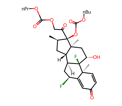 CCCCOC(=O)O[C@]1(C(=O)COC(=O)OCCC)[C@H](C)C[C@H]2[C@@H]3C[C@H](F)C4=CC(=O)C=C[C@]4(C)[C@@]3(F)[C@@H](O)C[C@@]21C